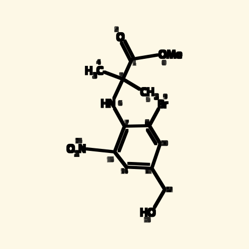 COC(=O)C(C)(C)Nc1c(Br)cc(CO)cc1[N+](=O)[O-]